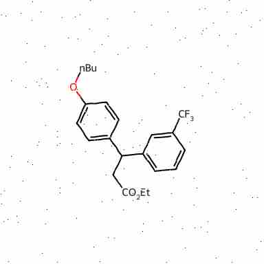 CCCCOc1ccc(C(CC(=O)OCC)c2cccc(C(F)(F)F)c2)cc1